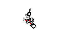 COc1c(Nc2ccc(C#N)cc2F)ncnc1OC1C2COCC1CN(c1ncc(Cl)cn1)C2